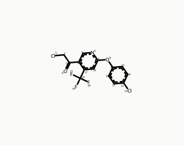 O=C(CCl)c1cnc(Oc2ccc(Cl)cc2)cc1C(F)(F)F